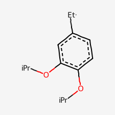 C[CH]c1ccc(OC(C)C)c(OC(C)C)c1